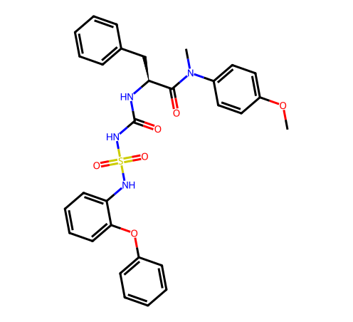 COc1ccc(N(C)C(=O)[C@H](Cc2ccccc2)NC(=O)NS(=O)(=O)Nc2ccccc2Oc2ccccc2)cc1